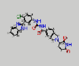 O=C1CCC(N2Cc3ccc(C(=O)NC(=O)Nc4ccc(Cl)c(-c5nc6ccccc6[nH]5)c4)cc3C2)C(=O)N1